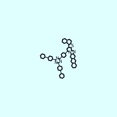 c1ccc(-c2ccc(-c3nc(-c4ccc(-c5ccccc5)cc4)nc(-c4ccc(-c5cc6c(sc7ccc8ccccc8c76)c6nc7cc8cc9ccccc9cc8cc7n56)cc4)n3)cc2)cc1